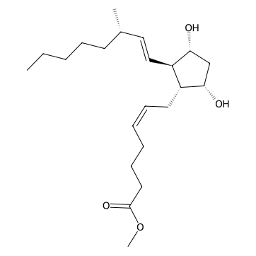 CCCCC[C@H](C)/C=C/[C@@H]1[C@@H](C/C=C\CCCC(=O)OC)[C@@H](O)C[C@H]1O